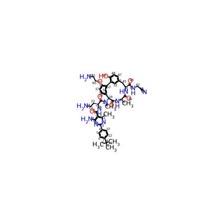 Cc1nc(-c2ccc(C(C)(C)C)cc2)nc(N)c1C(=O)N[C@@H](CCN)C(=O)N(C)[C@@H]1C(=O)N[C@@H](C)C(=O)N[C@H](C(=O)NCC#N)Cc2ccc(O)c(c2)-c2cc1ccc2OCCN